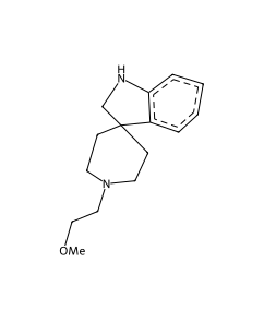 COCCN1CCC2(CC1)CNc1ccccc12